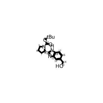 CC(C)(C)OC(=O)N1CCC[C@H]1c1nc2cc(CO)ccc2[nH]1